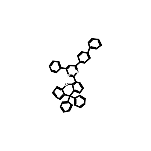 c1ccc(-c2ccc(-c3cc(-c4ccccc4)nc(-c4cccc5c4Oc4ccccc4C5(c4ccccc4)c4ccccc4)n3)cc2)cc1